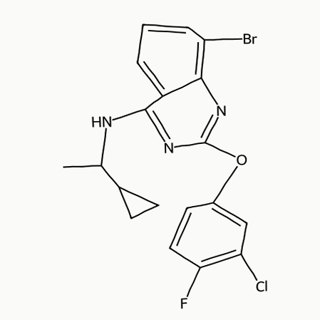 CC(Nc1nc(Oc2ccc(F)c(Cl)c2)nc2c(Br)cccc12)C1CC1